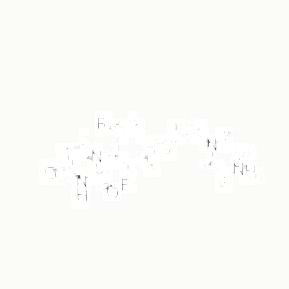 O=c1ccn(-c2c(F)cc(C#CCN3CCNCC3)cc2F)c(=O)[nH]1